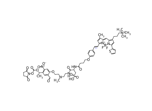 CC1=CC(/C=C/c2ccc(OCCCC(=O)NC(CS(=O)(=O)O)C(=O)NCCN(C)CCOc3cc([N+](=O)[O-])c(C(C)OC(=O)ON4C(=O)CCC4=O)cc3C=O)cc2)=[N+]2C1=Cc1c(CCC[N+](C)(C)C)cc(-c3cccs3)n1[B-]2(F)F